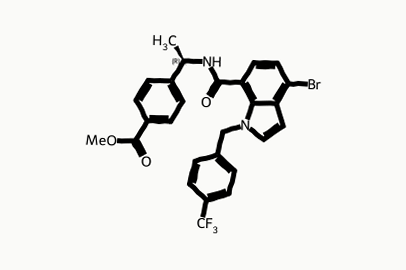 COC(=O)c1ccc([C@@H](C)NC(=O)c2ccc(Br)c3ccn(Cc4ccc(C(F)(F)F)cc4)c23)cc1